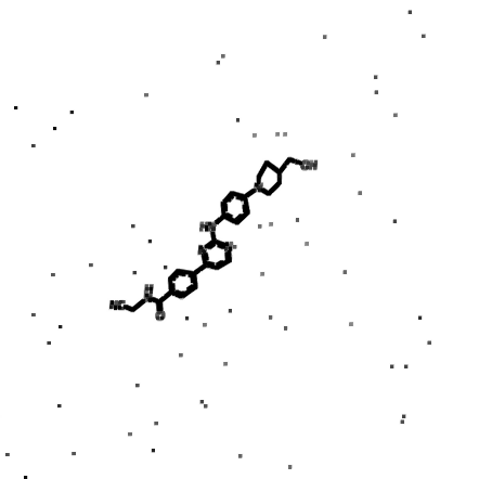 N#CCNC(=O)c1ccc(-c2ccnc(Nc3ccc(N4CCC(CO)CC4)cc3)n2)cc1